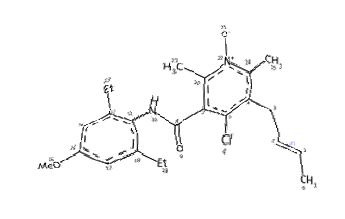 C/C=C/Cc1c(Cl)c(C(=O)Nc2c(CC)cc(OC)cc2CC)c(C)[n+]([O-])c1C